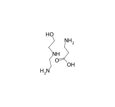 NCCC(=O)O.NCCNCCO